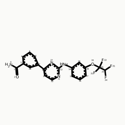 NC(=O)c1cccc(-c2ccnc(Nc3cccc(OC(F)(F)C(F)F)c3)n2)c1